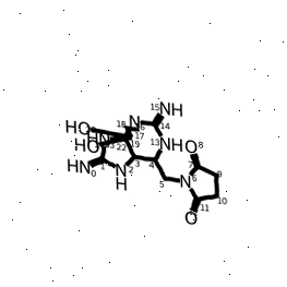 N=C1NC2C(CN3C(=O)CCC3=O)NC(=N)N3CCC(O)(O)C23N1